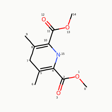 COC(=O)C1=C(C)CC(C)=C(C(=O)OC)[N]1